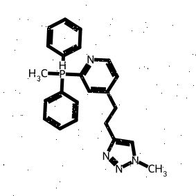 Cn1cc(CCc2ccnc([PH](C)(c3ccccc3)c3ccccc3)c2)nn1